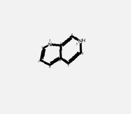 C1=C[N]C2=CNC=CC2=C1